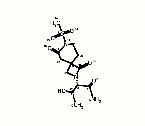 C[C@@H](O)[C@@H](C(N)=O)N1CC2(CCN(S(C)(=O)=O)C(=O)C2)C1=O